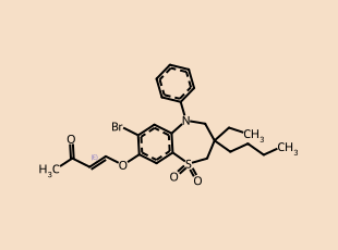 CCCCC1(CC)CN(c2ccccc2)c2cc(Br)c(O/C=C/C(C)=O)cc2S(=O)(=O)C1